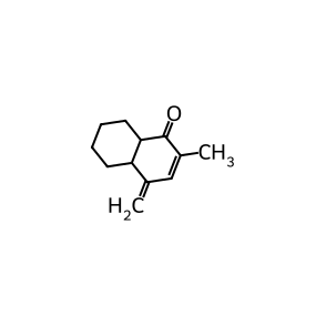 C=C1C=C(C)C(=O)C2CCCCC12